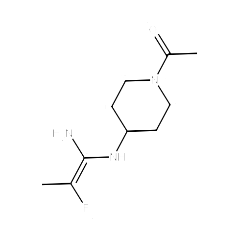 CC(=O)N1CCC(N/C(N)=C(/C)F)CC1